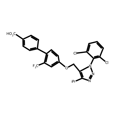 CC(C)c1nnn(-c2c(Cl)cccc2Cl)c1COc1ccc(-c2ccc(C(=O)O)cc2)c(C(F)(F)F)c1